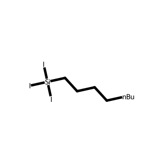 CCCCCCCC[Si](I)(I)I